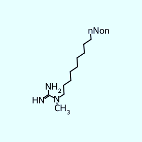 CCCCCCCCCCCCCCCCCCN(C)C(=N)N